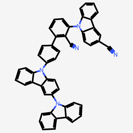 N#Cc1ccc2c(c1)c1ccccc1n2-c1cccc(-c2ccc(-n3c4ccccc4c4cc(-n5c6ccccc6c6ccccc65)ccc43)cc2)c1C#N